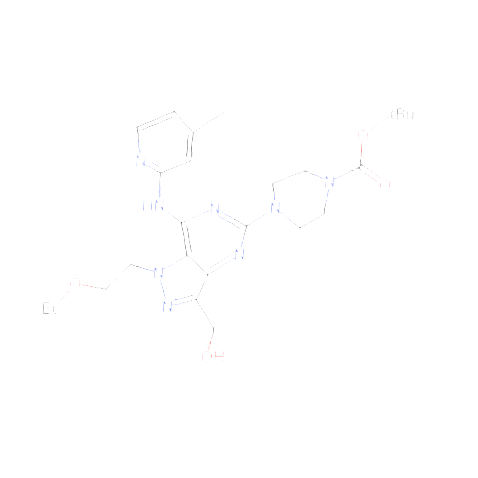 CCOCCn1nc(CO)c2nc(N3CCN(C(=O)OC(C)(C)C)CC3)nc(Nc3cc(C)ccn3)c21